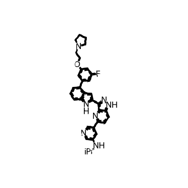 CC(C)Nc1cncc(-c2ccc3[nH]nc(-c4cc5c(-c6cc(F)cc(OCCN7CCCC7)c6)cccc5[nH]4)c3n2)c1